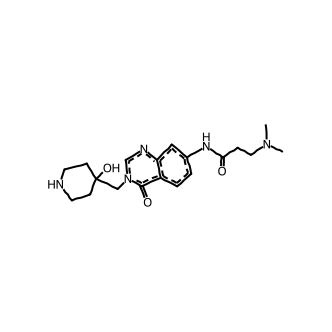 CN(C)CCC(=O)Nc1ccc2c(=O)n(CC3(O)CCNCC3)cnc2c1